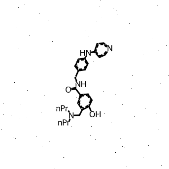 CCCN(CCC)Cc1cc(C(=O)NCc2ccc(Nc3ccncc3)cc2)ccc1O